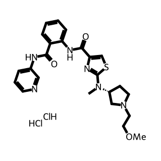 COCCN1CC[C@@H](N(C)c2nc(C(=O)Nc3ccccc3C(=O)Nc3cccnc3)cs2)C1.Cl.Cl